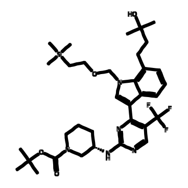 CC(C)(O)CCc1cccc2c(-c3nc(N[C@H]4CCCN(C(=O)OC(C)(C)C)C4)ncc3C(F)(F)F)cn(COCC[Si](C)(C)C)c12